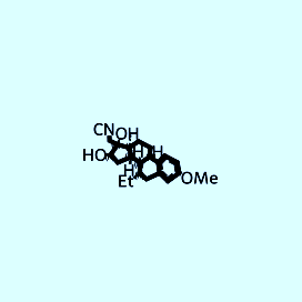 CC[C@@H]1Cc2cc(OC)ccc2[C@H]2CC[C@@]3(C)[C@@H](C[C@@H](O)[C@@]3(O)CC#N)[C@H]12